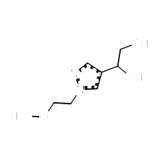 CCC(C)c1cnn(CCOC)c1